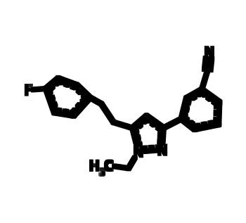 CCn1nc(-c2cccc(C#N)c2)cc1CCc1ccc(F)cc1